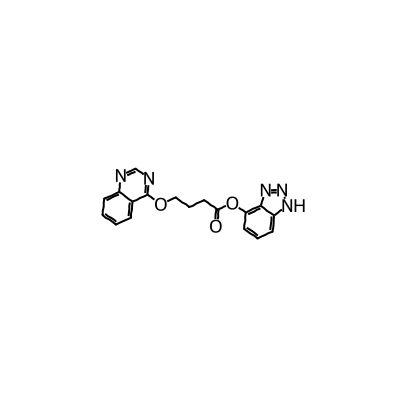 O=C(CCCOc1ncnc2ccccc12)Oc1cccc2[nH]nnc12